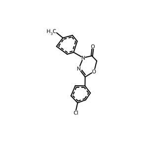 Cc1ccc(N2N=C(c3ccc(Cl)cc3)OCC2=O)cc1